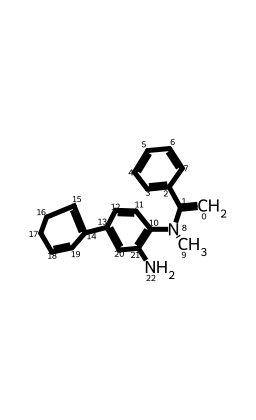 C=C(c1ccccc1)N(C)c1ccc(C2=CCCC=C2)cc1N